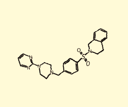 O=S(=O)(c1ccc(CN2CCN(c3ncccn3)CC2)cc1)N1CCc2ccccc2C1